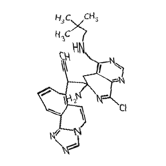 C#CC(c1cccc2c1ccn1cnnc21)C1(N)Cc2c(NCC(C)(C)C)ncnc2C(Cl)=N1